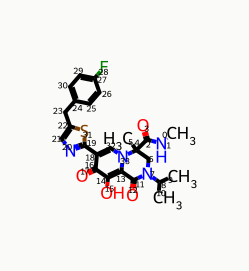 CNC(=O)C1(C)CN(C(C)C)C(=O)c2c(O)c(=O)c(-c3ncc(Cc4ccc(F)cc4)s3)cn21